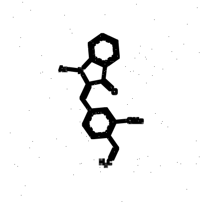 C=Cc1ccc(/C=C2\C(=O)c3ccccc3N2C(C)=O)cc1OC